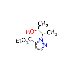 CCOC(=O)c1ccnn1[C@@H](C)[C@H](C)O